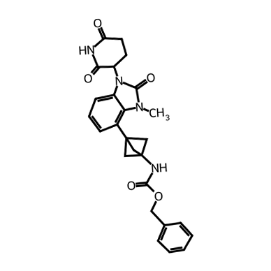 Cn1c(=O)n(C2CCC(=O)NC2=O)c2cccc(C34CC(NC(=O)OCc5ccccc5)(C3)C4)c21